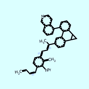 C=C/C=C\c1cc/c(=C/C=C(\C)c2ccc3c(c2)-c2c(-c4cccc5cnccc45)cccc2C2CC32)c(=C)c1CCC